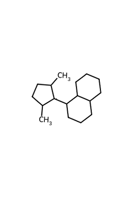 CC1CCC(C)[C]1C1CCCC2CCCCC21